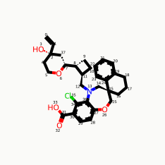 C=C[C@]1(O)CCO[C@@H]([C@@H]2CC[C@H]2CN2C[C@@]3(CCCc4ccccc43)COc3ccc(C(=O)O)c(Cl)c32)C1